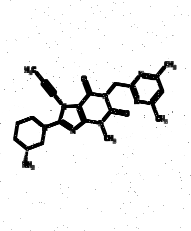 CC#Cn1c(N2CCC[C@@H](N)C2)nc2c1c(=O)n(Cc1nc(C)cc(C)n1)c(=O)n2C